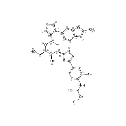 COC(=O)Nc1ccc(-c2cn([C@@H]3C[C@H](c4ncnn4-c4ccc5nc(C)sc5c4)O[C@H](CO)[C@@H]3O)nn2)cc1F